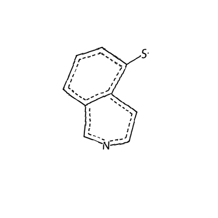 [S]c1cccc2cnccc12